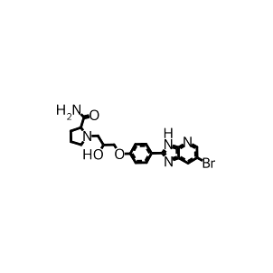 NC(=O)C1CCCN1CC(O)COc1ccc(-c2nc3cc(Br)cnc3[nH]2)cc1